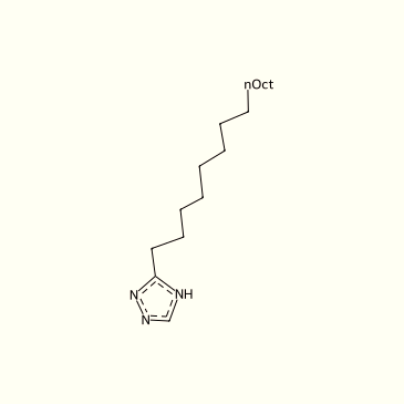 CCCCCCCCCCCCCCCCc1nnc[nH]1